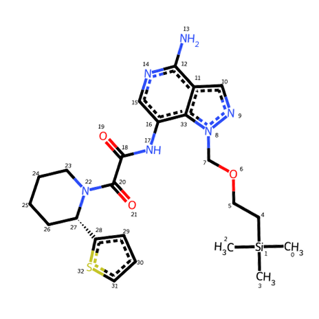 C[Si](C)(C)CCOCn1ncc2c(N)ncc(NC(=O)C(=O)N3CCCC[C@H]3c3cccs3)c21